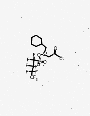 CCC(=O)C[S+](CC1CCCCC1)OS(=O)(=O)C(F)(F)C(F)(F)C(F)(F)C(F)(F)F